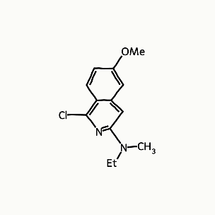 CCN(C)c1cc2cc(OC)ccc2c(Cl)n1